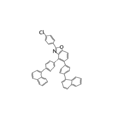 Clc1ccc(-c2nc3c(-c4ccc(-c5cccc6ccccc56)cc4)c(-c4ccc(-c5cccc6ccccc56)cc4)ccc3o2)cc1